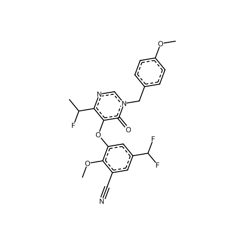 COc1ccc(Cn2cnc(C(C)F)c(Oc3cc(C(F)F)cc(C#N)c3OC)c2=O)cc1